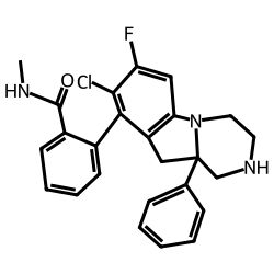 CNC(=O)c1ccccc1-c1c(Cl)c(F)cc2c1CC1(c3ccccc3)CNCCN21